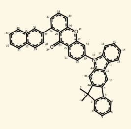 CC1(C)c2ccccc2-c2cc3c4ccccc4n(-c4ccc5c(=O)c6c(-c7ccc8ccccc8c7)cccc6oc5c4)c3cc21